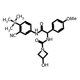 COc1ccc(C(NC(=O)N2CC(O)C2)C(=O)Nc2ccc([Si](C)(C)C)c(C#N)c2)cc1